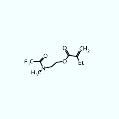 C=C(CC)C(=O)OCCN(C)C(=O)C(F)(F)F